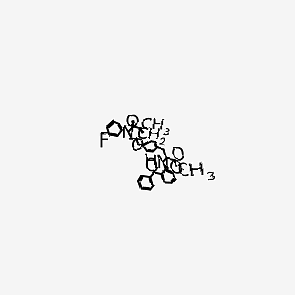 C=C(C)C(=O)N(CCOc1ccc(CC(Nc2ccccc2C(=O)c2ccccc2)C(=O)OC)cc1)c1cccc(F)c1